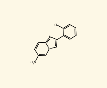 O=[N+]([O-])c1ccc2nc(-c3ccccc3Cl)cn2c1